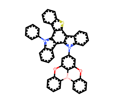 c1ccc(-n2c3ccccc3c3c4c(c5ccccc5n4-c4cc5c6c(c4)Oc4ccccc4B6c4ccccc4O5)c4sc5ccccc5c4c32)cc1